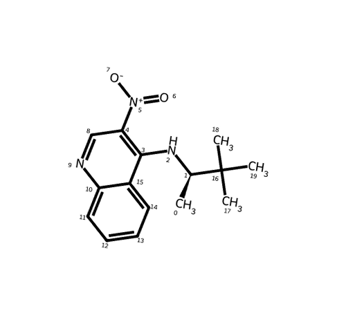 C[C@@H](Nc1c([N+](=O)[O-])cnc2ccccc12)C(C)(C)C